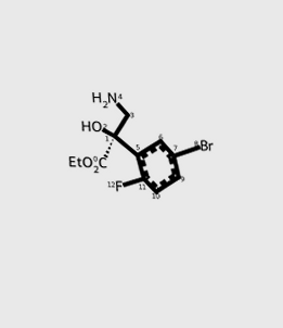 CCOC(=O)[C@](O)(CN)c1cc(Br)ccc1F